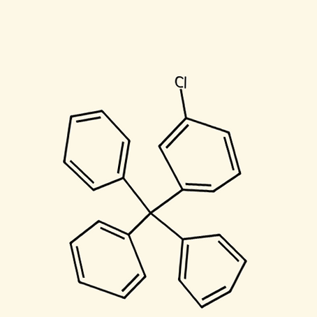 Clc1cccc(C(c2ccccc2)(c2ccccc2)c2ccccc2)c1